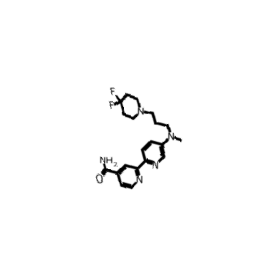 CN(CCCN1CCC(F)(F)CC1)c1ccc(-c2cc(C(N)=O)ccn2)nc1